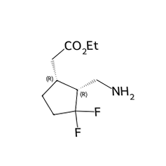 CCOC(=O)C[C@H]1CCC(F)(F)[C@H]1CN